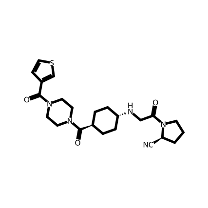 N#C[C@@H]1CCCN1C(=O)CN[C@H]1CC[C@H](C(=O)N2CCN(C(=O)c3ccsc3)CC2)CC1